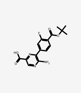 CC(C)(C)OC(=O)c1ccc(-c2nc(C(=O)O)cnc2N)cc1F